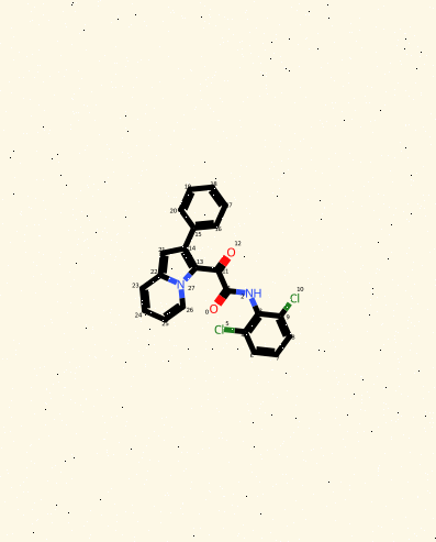 O=C(Nc1c(Cl)cccc1Cl)C(=O)c1c(-c2ccccc2)cc2ccccn12